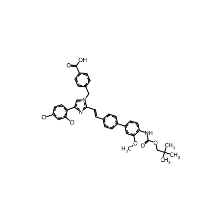 COc1cc(-c2ccc(C=Cc3nc(-c4ccc(Cl)cc4Cl)cn3Cc3ccc(C(=O)O)cc3)cc2)ccc1NC(=O)OCC(C)(C)C